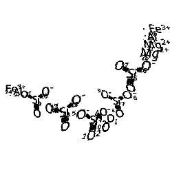 O.O.O=[Si]([O-])[O-].O=[Si]([O-])[O-].O=[Si]([O-])[O-].O=[Si]([O-])[O-].O=[Si]([O-])[O-].[Al].[Al].[Fe+3].[Fe+3].[Mg+2].[Mg+2]